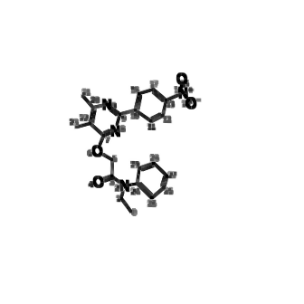 CCN(C(=O)COc1nc(-c2ccc([N+](=O)[O-])cc2)nc(C)c1C)c1ccccc1